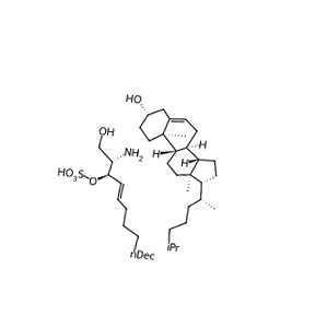 CC(C)CCC[C@@H](C)[C@H]1CC[C@H]2[C@@H]3CC=C4C[C@@H](O)CC[C@]4(C)[C@H]3CC[C@]12C.CCCCCCCCCCCCC/C=C/[C@@H](OS(=O)(=O)O)[C@@H](N)CO